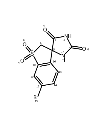 O=C1NC(=O)C2(CS(=O)(=O)c3cc(Br)ccc32)N1